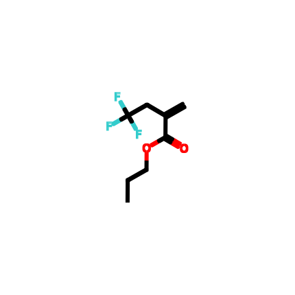 C=C(CC(F)(F)F)C(=O)OCCC